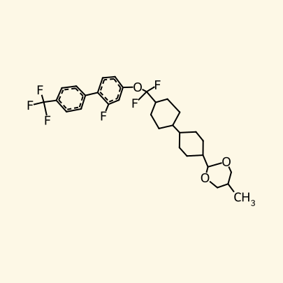 CC1COC(C2CCC(C3CCC(C(F)(F)Oc4ccc(-c5ccc(C(F)(F)F)cc5)c(F)c4)CC3)CC2)OC1